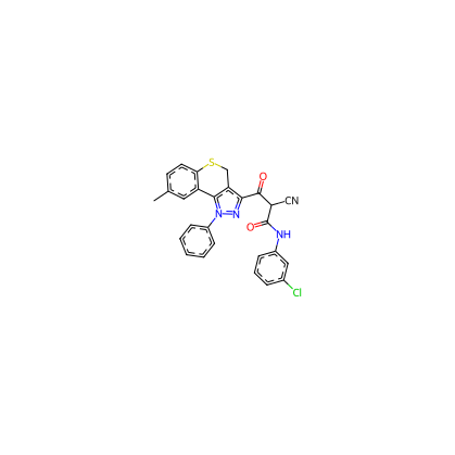 Cc1ccc2c(c1)-c1c(c(C(=O)C(C#N)C(=O)Nc3cccc(Cl)c3)nn1-c1ccccc1)CS2